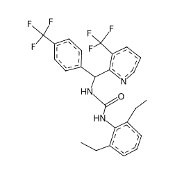 CCc1cccc(CC)c1NC(=O)NC(c1ccc(C(F)(F)F)cc1)c1ncccc1C(F)(F)F